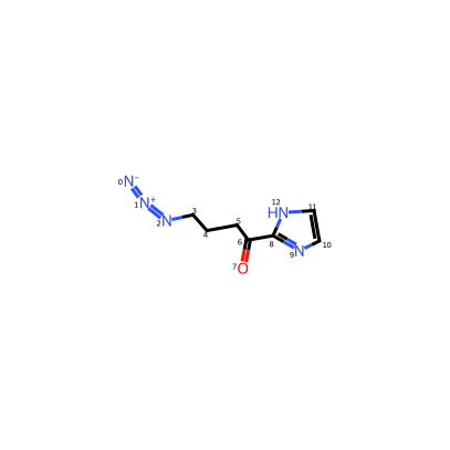 [N-]=[N+]=NCCCC(=O)c1ncc[nH]1